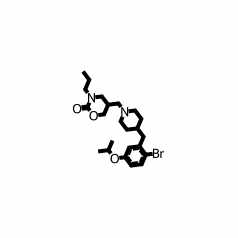 CCCN1CC(CN2CCC(Cc3cc(OC(C)C)ccc3Br)CC2)COC1=O